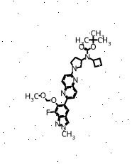 COCOc1c(-c2ccc3nc(N4CCC(N(C(=O)OC(C)(C)C)C5CCC5)C4)ccc3n2)cc2cn(C)nc2c1F